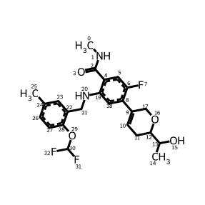 CNC(=O)c1cc(F)c(C2=CCC(C(C)O)OC2)cc1NCc1cc(C)ccc1OC(F)F